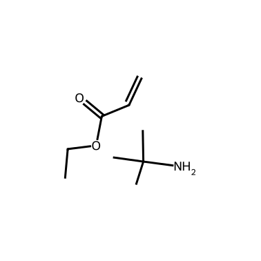 C=CC(=O)OCC.CC(C)(C)N